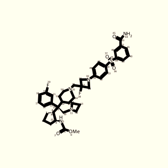 COC(=O)N[C@H]1CCC[C@@H]1[C@](CN1CCC1)(c1cccc(F)c1)C1CCN(CC2(F)CN(c3ccc(S(=O)(=O)c4cccc(C(N)=O)c4)cc3)C2)CC1